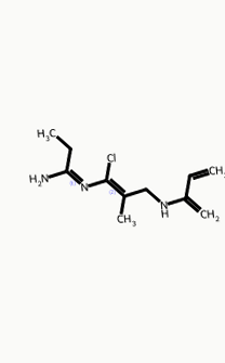 C=CC(=C)NC/C(C)=C(Cl)/N=C(/N)CC